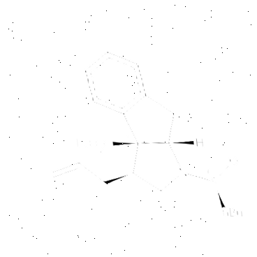 C=CC[C@@H]1CN([S@@+]([O-])CCCC)[C@H]2Cc3ccccc3[C@@]12C(=O)OCC